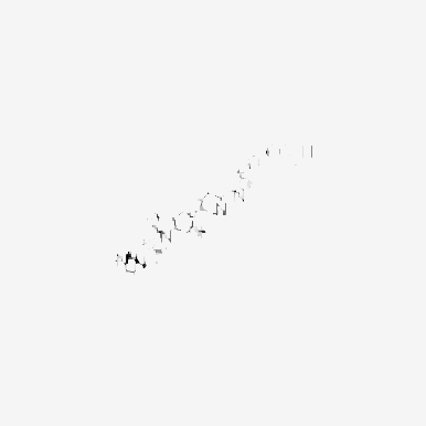 O=C(O)COC[C@@H]1CC(c2ccc(-c3ccc(N4C[C@H](Cn5ccnn5)OC4=O)cc3F)cn2)=NO1